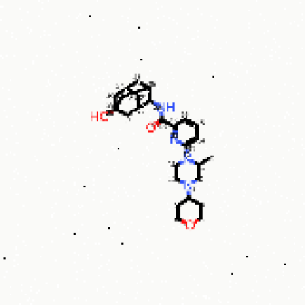 CC1CN(C2CCOCC2)CCN1c1cccc(C(=O)NC2C3CC4CC2CC(O)(C4)C3)n1